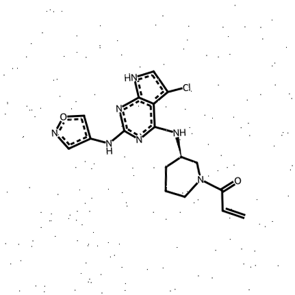 C=CC(=O)N1CCC[C@@H](Nc2nc(Nc3cnoc3)nc3[nH]cc(Cl)c23)C1